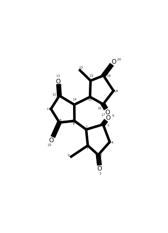 CC1C(=O)CC(=O)C1C1C(=O)CC(=O)C1C1C(=O)CC(=O)C1C